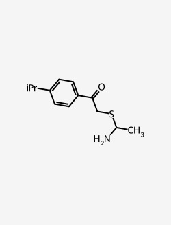 CC(N)SCC(=O)c1ccc(C(C)C)cc1